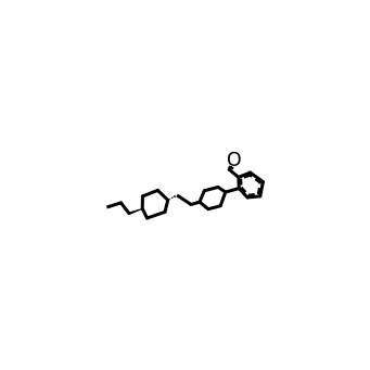 CCC[C@H]1CC[C@H](CCC2CCC(c3ccccc3C=O)CC2)CC1